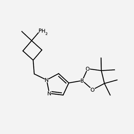 CC1(P)CC(Cn2cc(B3OC(C)(C)C(C)(C)O3)cn2)C1